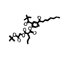 CCCCCCCC(=O)c1ccc(OC(=O)C(CCC)C(=O)OCC(=O)OC(C)(C)C)c(C(=O)C(C)(C)C)c1